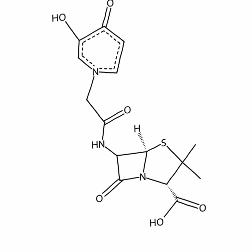 CC1(C)S[C@@H]2C(NC(=O)Cn3ccc(=O)c(O)c3)C(=O)N2[C@H]1C(=O)O